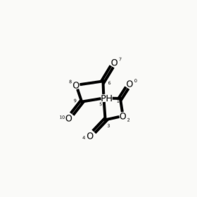 O=C1OC(=O)[PH]12C(=O)OC2=O